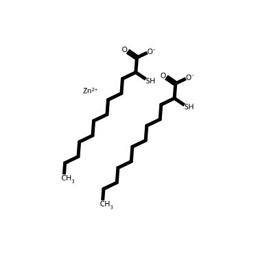 CCCCCCCCCCC(S)C(=O)[O-].CCCCCCCCCCC(S)C(=O)[O-].[Zn+2]